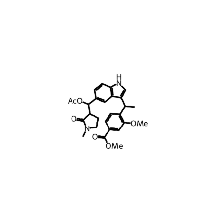 COC(=O)c1ccc(C(C)c2c[nH]c3ccc(C(OC(C)=O)C4CCN(C)C4=O)cc23)c(OC)c1